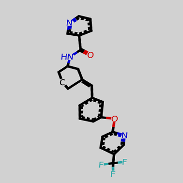 O=C(NC1CCCC(=Cc2cccc(Oc3ccc(C(F)(F)F)cn3)c2)C1)c1cccnc1